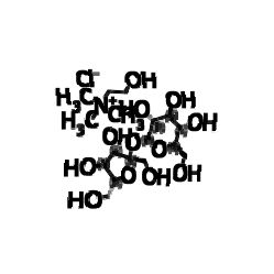 C[N+](C)(C)CCO.OC[C@H]1O[C@@](CO)(O[C@H]2O[C@H](CO)[C@@H](O)[C@H](O)[C@H]2O)[C@@H](O)[C@@H]1O.[Cl-]